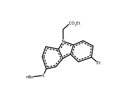 CCCCSc1ccc2c(c1)c1cc(CC)ccc1n2CC(=O)OCC